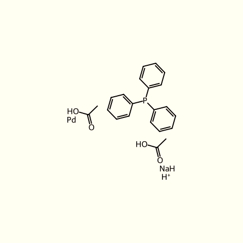 CC(=O)O.CC(=O)O.[H+].[NaH].[Pd].c1ccc(P(c2ccccc2)c2ccccc2)cc1